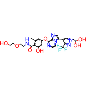 Cc1cc(Oc2nccn3c(-c4cn(CC(O)O)nc4C(F)(F)F)cnc23)cc(O)c1C(=O)NCCOCCO